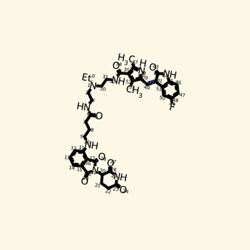 CCN(CCNC(=O)CCCNc1cccc2c1C(=O)N(C1CCC(=O)NC1=O)C2=O)CCNC(=O)c1c(C)[nH]c(/C=C2\C(=O)Nc3ccc(F)cc32)c1C